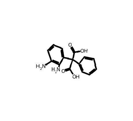 Nc1cccc(C(C(=O)O)(C(=O)O)c2ccccc2)c1N